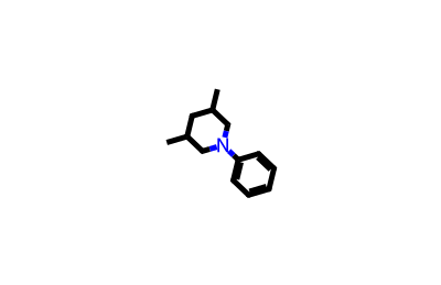 CC1CC(C)CN(c2ccccc2)C1